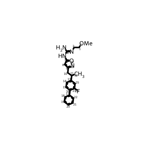 COCCN=C(N)Nc1cc(CC(C)c2ccc(-c3ccccc3)c(F)c2)no1